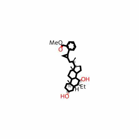 CC[C@H]1[C@@H](O)C2C3CC[C@H]([C@H](C)CC4CC4c4ccccc4C(=O)OC)[C@@]3(C)CCC2[C@@]2(C)CC[C@@H](O)C[C@@H]12